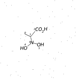 CC(C(=O)O)N(O)O